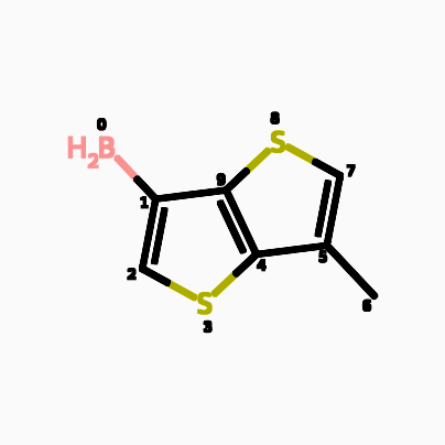 Bc1csc2c(C)csc12